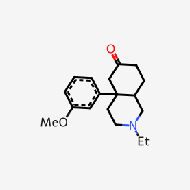 CCN1CCC2(c3cccc(OC)c3)CC(=O)CCC2C1